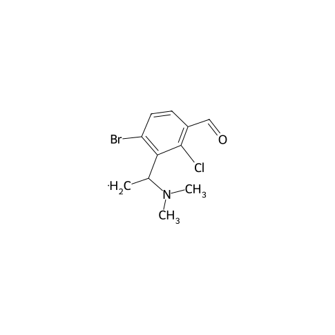 [CH2]C(c1c(Br)ccc(C=O)c1Cl)N(C)C